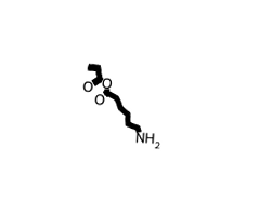 C=CC(=O)OC(=O)CCCCCN